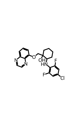 OC1(COc2cccc3nccnc23)CCCCC1Nc1c(F)cc(Cl)cc1F